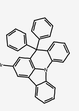 Brc1cc2c3c(c1)c1ccccc1n3-c1ccccc1C2(c1ccccc1)c1ccccc1